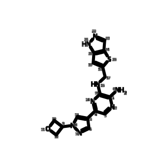 Nc1ncc(-c2cnn(C3COC3)c2)nc1NCc1cc2[nH]ncc2s1